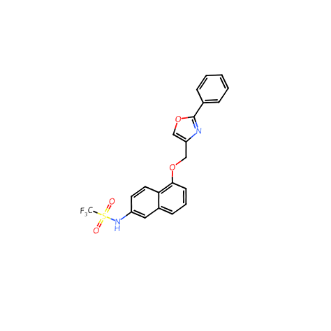 O=S(=O)(Nc1ccc2c(OCc3coc(-c4ccccc4)n3)cccc2c1)C(F)(F)F